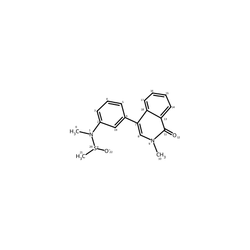 CN(c1cccc(-c2cn(C)c(=O)c3ccccc23)c1)[S+](C)[O-]